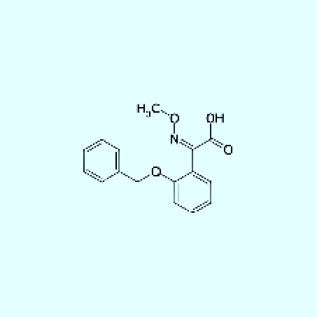 CON=C(C(=O)O)c1ccccc1OCc1ccccc1